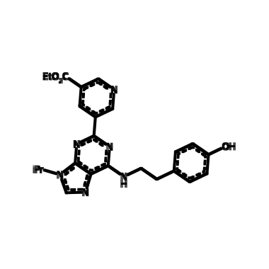 CCOC(=O)c1cncc(-c2nc(NCCc3ccc(O)cc3)c3ncn(C(C)C)c3n2)c1